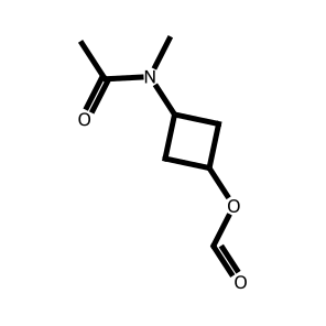 CC(=O)N(C)C1CC(OC=O)C1